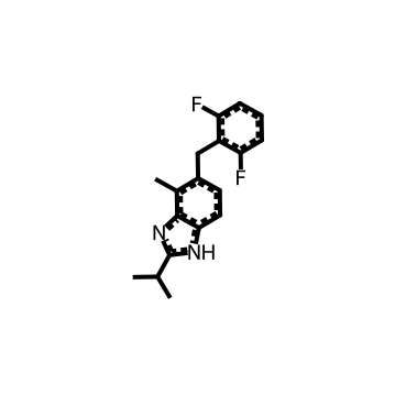 Cc1c(Cc2c(F)cccc2F)ccc2[nH]c(C(C)C)nc12